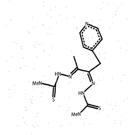 CNC(=S)N/N=C(Cc1ccncc1)\C(C)=N\NC(=S)NC